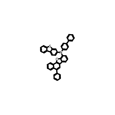 c1ccc(-c2ccc(N(c3ccc4c(c3)sc3ccccc34)c3cccc4c3oc3c5ccccc5c(-c5ccccc5)cc43)cc2)cc1